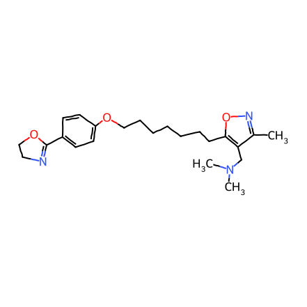 Cc1noc(CCCCCCCOc2ccc(C3=NCCO3)cc2)c1CN(C)C